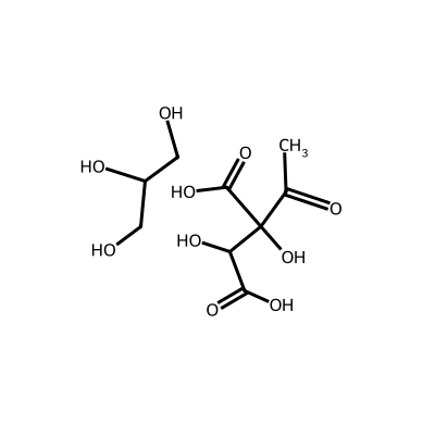 CC(=O)C(O)(C(=O)O)C(O)C(=O)O.OCC(O)CO